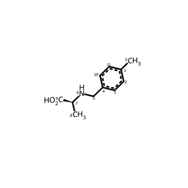 Cc1ccc(CN[C@@H](C)C(=O)O)cc1